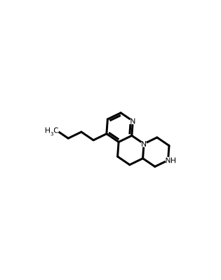 CCCCc1ccnc2c1CCC1CNCCN21